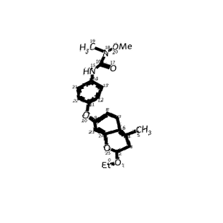 CCOC1CC(C)=C2CC=C(Oc3ccc(NC(=O)N(C)OC)cc3)C=C2O1